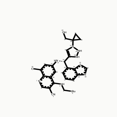 CC(C)(C)CNc1c(C#N)cnc2c(Cl)cc(N[C@H](C3=CN(C4(CO)CC4)NN3)c3cccc4ncsc34)cc12